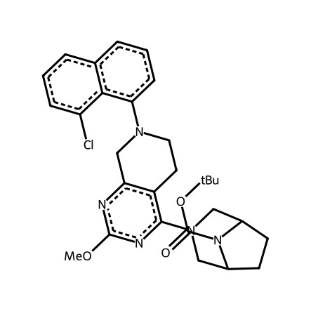 COc1nc2c(c(N3CC4CCC(C3)N4C(=O)OC(C)(C)C)n1)CCN(c1cccc3cccc(Cl)c13)C2